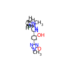 CN(c1ccc(-c2ccc(-c3ncn(C)c(=O)n3)cc2O)nn1)[C@H]1[C@@H]2CC[C@@H](NC2)[C@H]1F